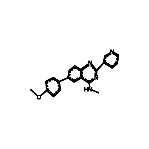 CNc1nc(-c2cccnc2)nc2ccc(-c3ccc(OC)cc3)cc12